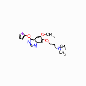 COc1cc2c(OC3=CC=C[I]3)ncnc2cc1OCCCN(C)C